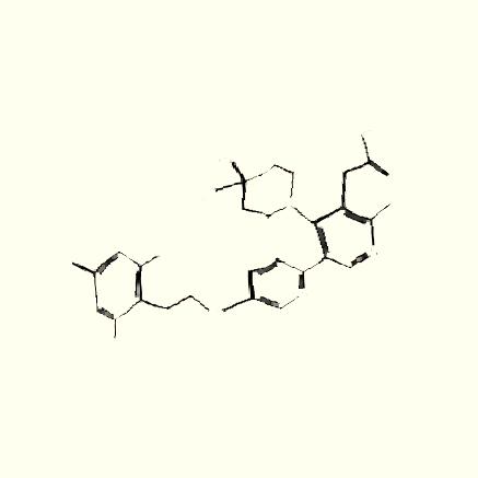 Cc1ncc(-c2ccc(OCCc3c(F)cc(F)cc3F)cn2)c(N2CCC(C)(C)CC2)c1CC(=O)O